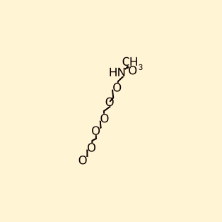 CC(=O)NCCOCCOCCOCCOCCOCC=O